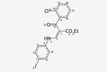 CCOC(=O)C(=CNc1ccc(I)cc1)C(=O)c1ccccc1Cl